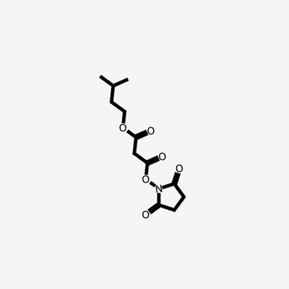 CC(C)CCOC(=O)CC(=O)ON1C(=O)CCC1=O